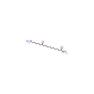 NCCCCCC(=O)CCCCCCCCCC(N)=O